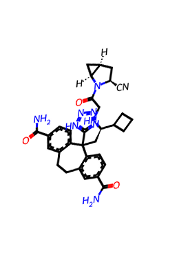 N#C[C@@H]1C[C@@H]2C[C@@H]2N1C(=O)CN[C@H](CC1(c2nnn[nH]2)c2ccc(C(N)=O)cc2CCc2cc(C(N)=O)ccc21)C1CCC1